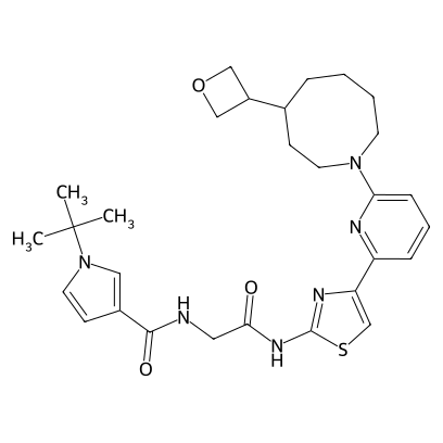 CC(C)(C)n1ccc(C(=O)NCC(=O)Nc2nc(-c3cccc(N4CCCCC(C5COC5)CC4)n3)cs2)c1